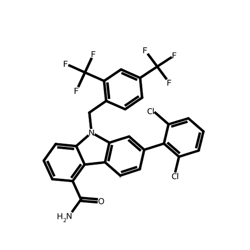 NC(=O)c1cccc2c1c1[c]cc(-c3c(Cl)cccc3Cl)cc1n2Cc1ccc(C(F)(F)F)cc1C(F)(F)F